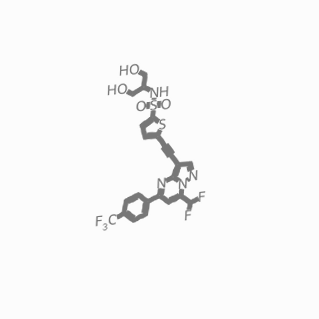 O=S(=O)(NC(CO)CO)c1ccc(C#Cc2cnn3c(C(F)F)cc(-c4ccc(C(F)(F)F)cc4)nc23)s1